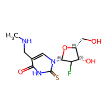 CNCc1cn([C@@H]2O[C@H](CO)[C@H](O)C2F)c(=S)[nH]c1=O